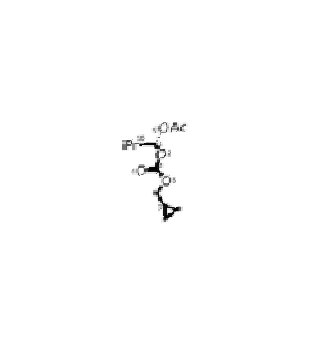 CC(=O)O[C@H](OC(=O)OCC1CC1)C(C)C